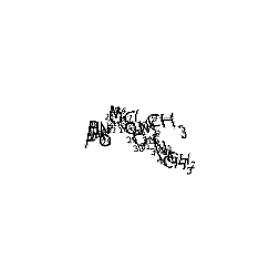 C=CN(/C=C\C)c1cc(C)nc2c(OCc3c(Cl)cncc3CNC(=O)C(F)F)cccc12